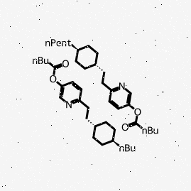 CCCCC(=O)Oc1ccc(CC[C@H]2CC[C@H](CCCC)CC2)nc1.CCCCC[C@H]1CC[C@H](CCc2ccc(OC(=O)CCCC)cn2)CC1